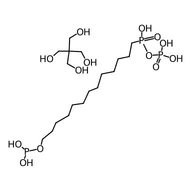 O=P(O)(O)OP(=O)(O)CCCCCCCCCCCCCOP(O)O.OCC(CO)(CO)CO